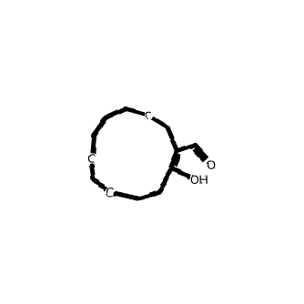 O=C/C1=C(\O)CCCCCCCCCC1